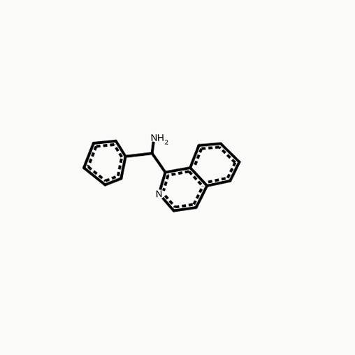 NC(c1ccccc1)c1nccc2ccccc12